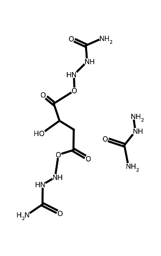 NC(=O)NNOC(=O)CC(O)C(=O)ONNC(N)=O.NNC(N)=O